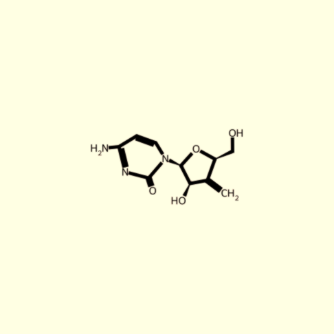 C=C1[C@H](CO)O[C@H](n2ccc(N)nc2=O)[C@@H]1O